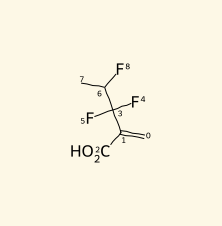 C=C(C(=O)O)C(F)(F)C(C)F